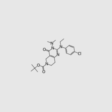 CCN(c1ccc(Cl)cc1)c1nc2c(c(=O)n1N(C)C)CN(C(=O)OC(C)(C)C)CC2